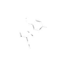 CCCCOc1ccc(C(C)(C)C)cc1S(=O)(=O)C(=[N+]=[N-])C(=O)C(C)(C)C